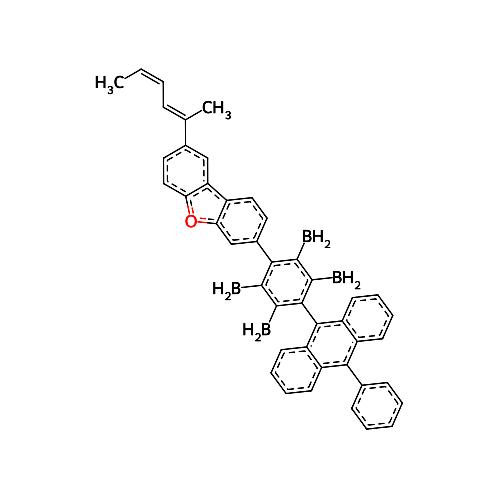 Bc1c(B)c(-c2c3ccccc3c(-c3ccccc3)c3ccccc23)c(B)c(B)c1-c1ccc2c(c1)oc1ccc(/C(C)=C/C=C\C)cc12